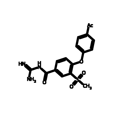 CC(=O)c1ccc(Oc2ccc(C(=O)NC(=N)N)cc2S(C)(=O)=O)cc1